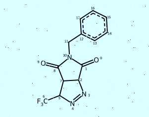 O=C1C2N=NC(C(F)(F)F)C2C(=O)N1Cc1ccccc1